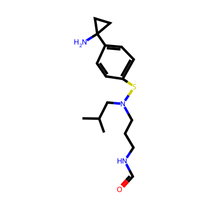 CC(C)CN(CCCNC=O)Sc1ccc(C2(N)CC2)cc1